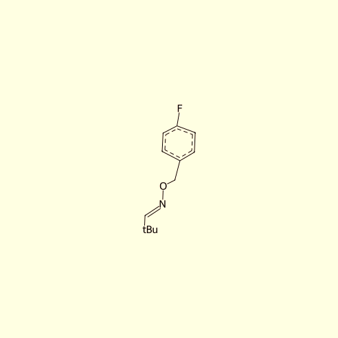 CC(C)(C)C=NOCc1ccc(F)cc1